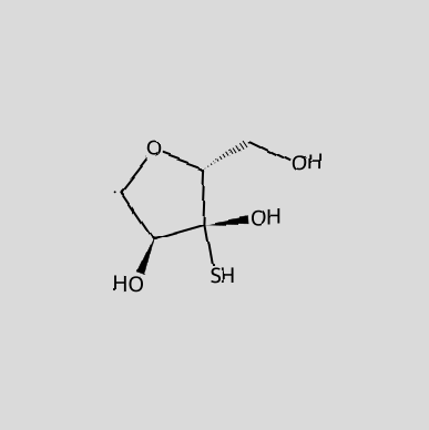 OC[C@H]1O[CH][C@H](O)[C@@]1(O)S